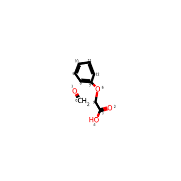 C=O.O=C(O)COc1ccccc1